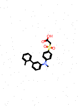 Cc1ccccc1-c1cccc(N(C)c2ccc(S(=O)(=O)CC(=O)O)cc2)c1